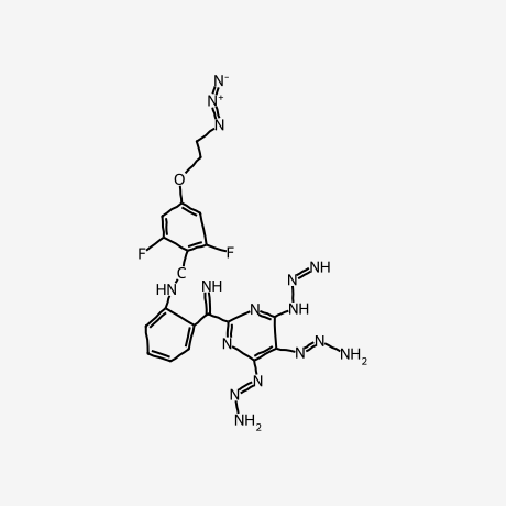 [N-]=[N+]=NCCOc1cc(F)c(CNc2ccccc2C(=N)c2nc(N=NN)c(N=NN)c(NN=N)n2)c(F)c1